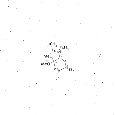 CC=C(C)C1CC(=O)C=CC1(OC)OC